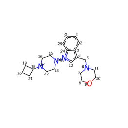 [c]1ccc2c(CN3CCOCC3)cn(N3CCN(C4CCC4)CC3)c2c1